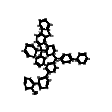 Sc1ccccc1-c1cccc(-c2ccc(N(c3ccc(-c4ccccc4)cc3)C3C=CC4=C(C3)C(c3ccccc3)(C3C=CC=CC3)c3ccc5c(sc6ccccc65)c34)cc2)c1